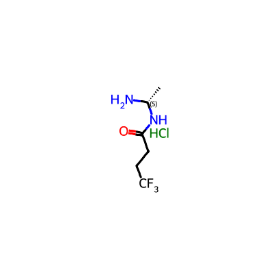 C[C@@H](N)NC(=O)CCC(F)(F)F.Cl